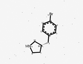 Brc1ccc(C[C@@H]2CCNC2)cc1